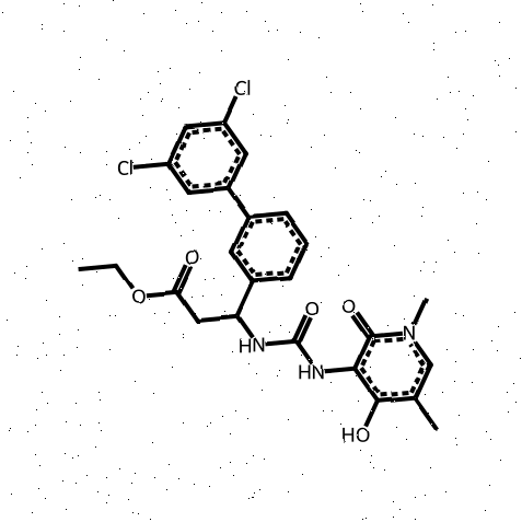 CCOC(=O)CC(NC(=O)Nc1c(O)c(C)cn(C)c1=O)c1cccc(-c2cc(Cl)cc(Cl)c2)c1